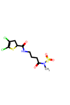 CN(C(=O)CCCNC(=O)C1CC(Cl)=C(Cl)S1)[SH](=O)=O